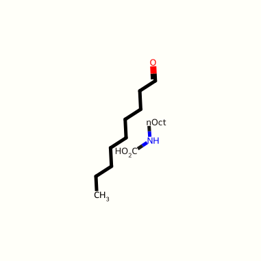 CCCCCCCCC=O.CCCCCCCCNC(=O)O